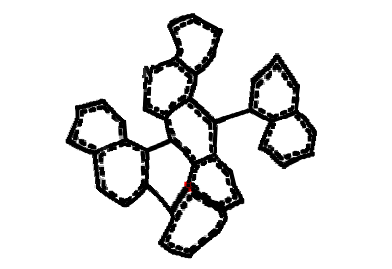 c1ccc(-c2ccc3ccccc3c2-c2c3ccccc3c(-c3cccc4ccccc34)c3c2cnc2ccccc23)cc1